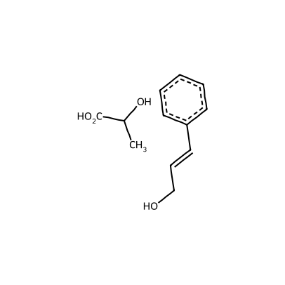 CC(O)C(=O)O.OCC=Cc1ccccc1